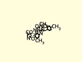 Cc1ccc(Cn2c(=O)n(C)c(=O)[nH]/c2=N\c2ccc(Oc3ncc(C(=O)O)s3)c(C)c2)cc1